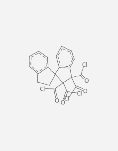 O=C(Cl)C1(C(=O)Cl)c2ccccc2C2(CCc3ccccc32)C1(C(=O)Cl)C(=O)Cl